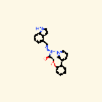 O=C(COc1ccccc1-c1cccnc1)N/N=C/c1cccc2[nH]ccc12